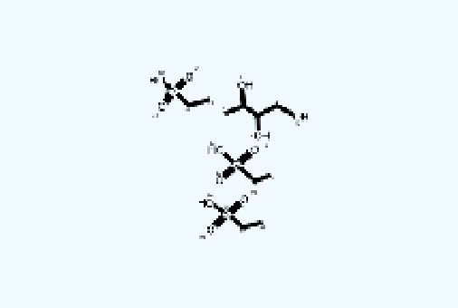 CC(O)C(O)CO.CCS(=O)(=O)O.CCS(=O)(=O)O.CCS(=O)(=O)O